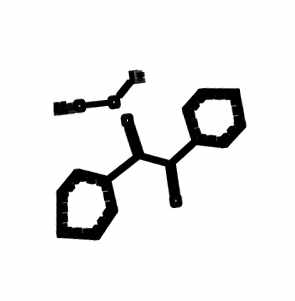 CCOOC.O=C(C(=O)c1ccccc1)c1ccccc1